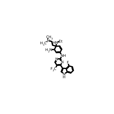 CCNC1(CCN(C)C)C=CC(Nc2ncc(C(F)(F)F)c(-c3c[nH]c4cccc(F)c34)n2)=CC1N